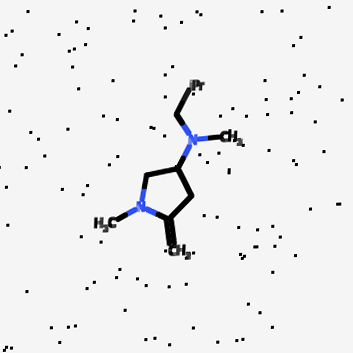 C=C1CC(N(C)CC(C)C)CN1C